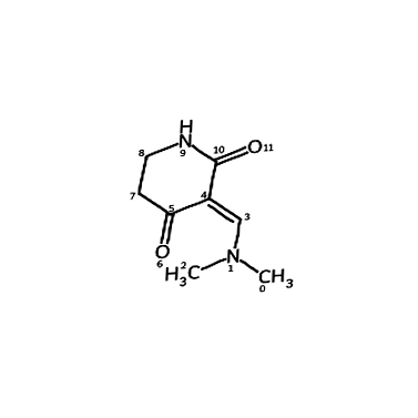 CN(C)C=C1C(=O)CCNC1=O